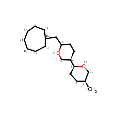 C[C@H]1CC[C@@H]([C@@H]2CCC(CC3CCCCCCC3)OC2)OC1